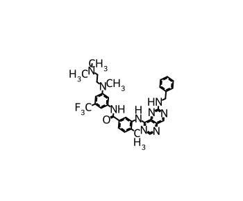 Cc1ccc(C(=O)Nc2cc(N(C)CCN(C)C)cc(C(F)(F)F)c2)cc1Nc1ncnc2cnc(NCc3ccccc3)nc12